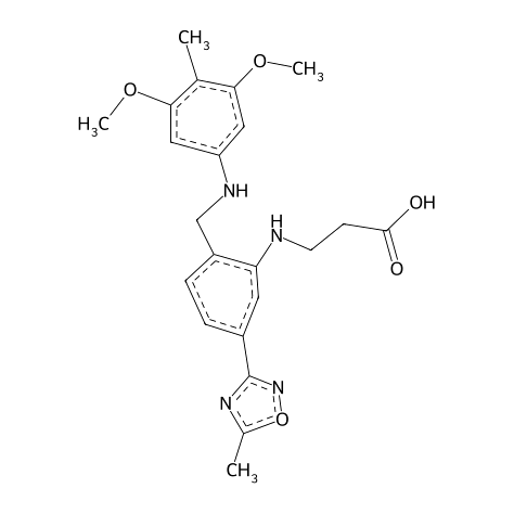 COc1cc(NCc2ccc(-c3noc(C)n3)cc2NCCC(=O)O)cc(OC)c1C